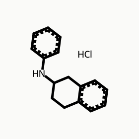 Cl.c1ccc(NC2CCc3ccccc3C2)cc1